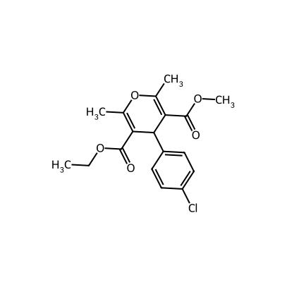 CCOC(=O)C1=C(C)OC(C)=C(C(=O)OC)C1c1ccc(Cl)cc1